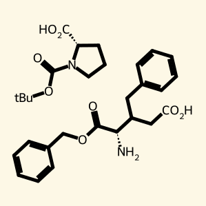 CC(C)(C)OC(=O)N1CCC[C@H]1C(=O)O.N[C@H](C(=O)OCc1ccccc1)C(CC(=O)O)Cc1ccccc1